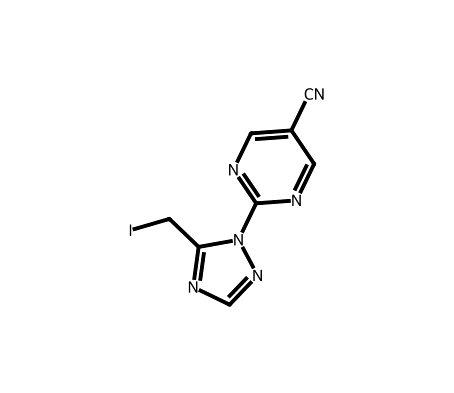 N#Cc1cnc(-n2ncnc2CI)nc1